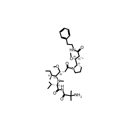 CC[C@H](C)[C@@H]([C@@H](CC(=O)N1CCC[C@H]1[C@H](OC)[C@@H](C)C(=O)NCCc1ccccc1)OC)N(C)[C@H](C(=O)NC(=O)C(C)(C)N)C(C)C